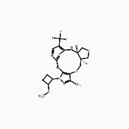 COC1CCC1n1nc(C)c2c1Nc1ncc(C(F)(F)F)c(n1)N[C@@H]1COC[C@H]1CO2